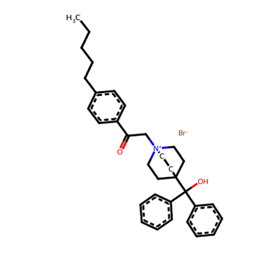 CCCCCc1ccc(C(=O)C[N+]23CCC(C(O)(c4ccccc4)c4ccccc4)(CC2)CC3)cc1.[Br-]